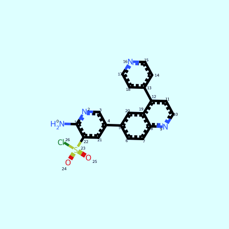 Nc1ncc(-c2ccc3nccc(-c4ccncc4)c3c2)cc1S(=O)(=O)Cl